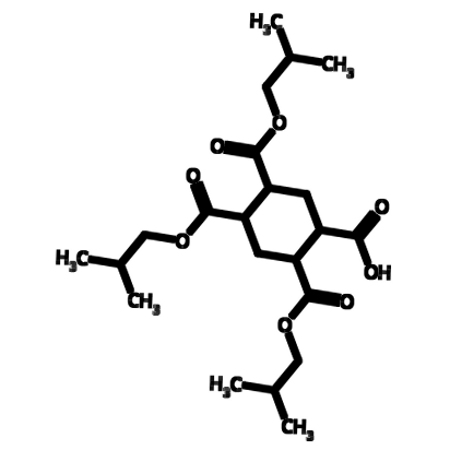 CC(C)COC(=O)C1CC(C(=O)OCC(C)C)C(C(=O)OCC(C)C)CC1C(=O)O